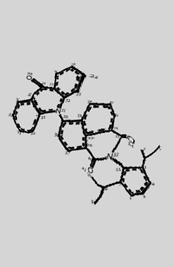 CC(C)c1cccc(C(C)C)c1N1C(=O)c2cccc3c(-n4c5ccccc5c(=O)c5ccccc54)ccc(c23)C1=O